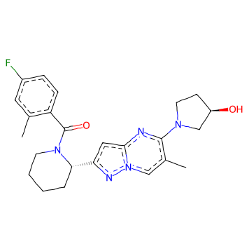 Cc1cc(F)ccc1C(=O)N1CCCC[C@H]1c1cc2nc(N3CC[C@@H](O)C3)c(C)cn2n1